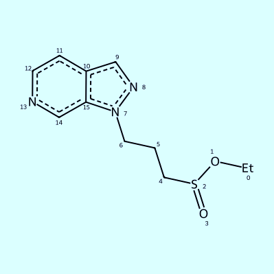 CCOS(=O)CCCn1ncc2ccncc21